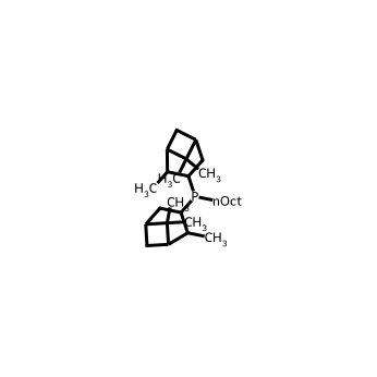 CCCCCCCCP(C1CC2CC(C1C)C2(C)C)C1CC2CC(C1C)C2(C)C